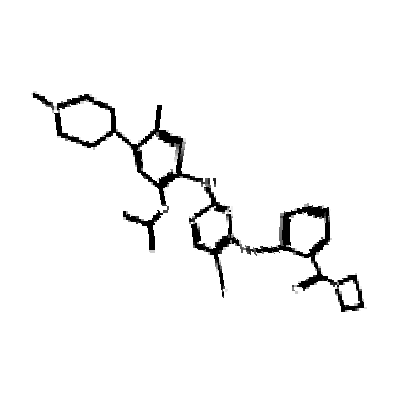 Cc1cc(Nc2ncc(Cl)c(Nc3ccccc3C(=O)N3CCC3)n2)c(OC(C)C)cc1C1CCN(C)CC1